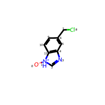 [O-][NH+]1C=Nc2cc(CCl)ccc21